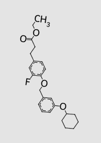 CCOC(=O)CCc1ccc(OCc2cccc(OC3CCCCC3)c2)c(F)c1